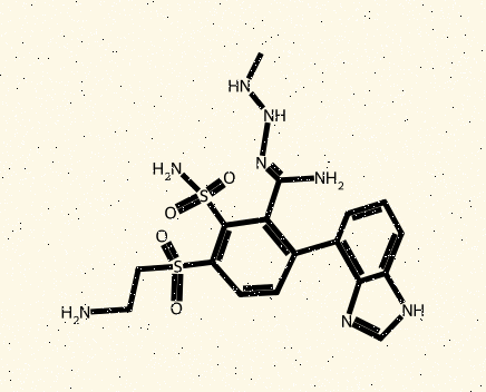 CNN/N=C(\N)c1c(-c2cccc3[nH]cnc23)ccc(S(=O)(=O)CCN)c1S(N)(=O)=O